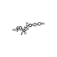 C=CCn1c(=O)c2cnc(Nc3ccc(N4CCN(C5CCNCC5)CC4)cc3)nc2n1-c1ccc2c(n1)[C@@](O)(CC)CC2